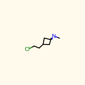 CN=C1CC(CCCl)C1